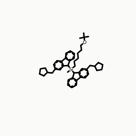 CC(C)(C)OCCCCCC[Si](C)(C1c2ccccc2-c2ccc(CC3CCCC3)cc21)C1c2ccccc2-c2ccc(CC3CCCC3)cc21